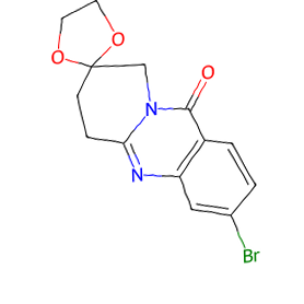 O=c1c2ccc(Br)cc2nc2n1CC1(CC2)OCCO1